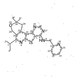 CC(C)c1nc2sc3c(NCc4ccccn4)ncnc3c2c2c1COC(C)(C)C2